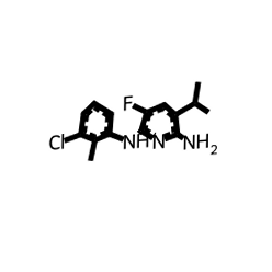 Cc1c(Cl)cccc1Nc1nc(N)c(C(C)C)cc1F